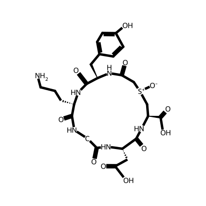 NCCC[C@@H]1NC(=O)[C@@H](Cc2ccc(O)cc2)NC(=O)C[S+]([O-])C[C@@H](C(=O)O)NC(=O)[C@H](CC(=O)O)NC(=O)CNC1=O